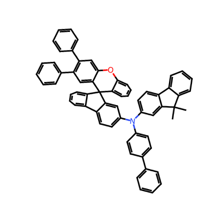 CC1(C)c2ccccc2-c2ccc(N(c3ccc(-c4ccccc4)cc3)c3ccc4c(c3)C3(c5ccccc5Oc5cc(-c6ccccc6)c(-c6ccccc6)cc53)c3ccccc3-4)cc21